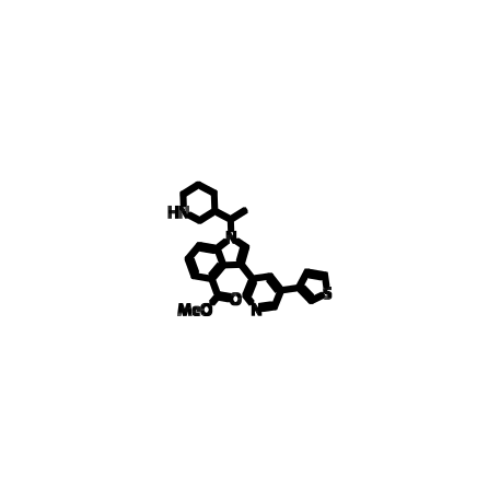 COC(=O)c1cccc2c1c(-c1cncc(-c3ccsc3)c1)cn2C(C)C1CCCNC1